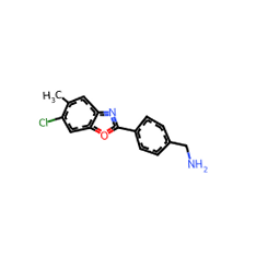 Cc1cc2nc(-c3ccc(CN)cc3)oc2cc1Cl